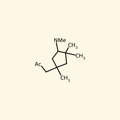 CNC1CC(C)(CC(C)=O)CC1(C)C